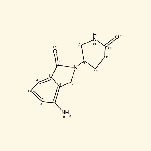 Nc1cccc2c1CN(C1CCC(=O)NC1)C2=O